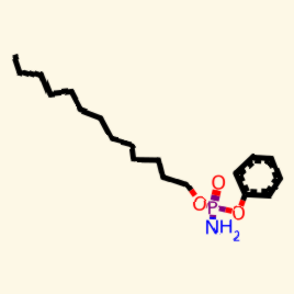 CCCCCCCCCCCCCOP(N)(=O)Oc1ccccc1